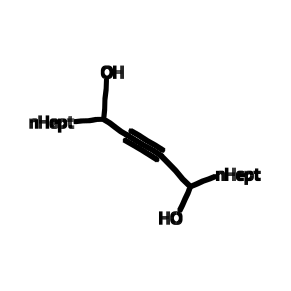 CCCCCCCC(O)C#CC(O)CCCCCCC